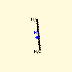 CCCCCCCCCCCCNC=CCNCCCCCCCCCCCC